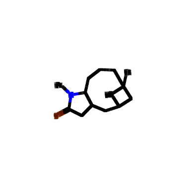 CCC12BC(CC3CC(=S)N(C(C)C)C3CCC1)C2